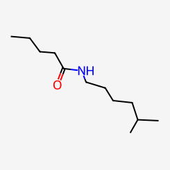 CCCCC(=O)NCCCCC(C)C